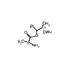 CC(C)CO[C@@H](C)C(OC(=O)[C@H](C)N)C(C)C